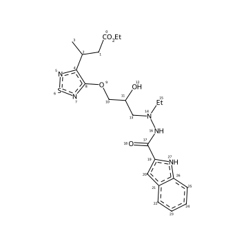 CCOC(=O)CC(C)c1nsnc1OCC(O)CN(CC)NC(=O)c1cc2ccccc2[nH]1